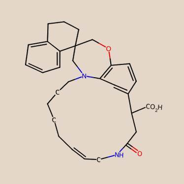 O=C1CC(C(=O)O)c2ccc3c(c2)N(CCCCCC=CCN1)CC1(CCCc2ccccc21)CO3